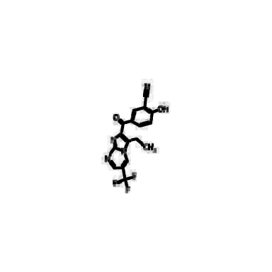 CCc1c(C(=O)c2ccc(O)c(C#N)c2)nc2ncc(C(F)(F)F)cn12